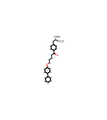 CO[C@@H](Cc1ccc(C(=O)CCCCOc2ccc(-c3ccccc3)cc2)cc1)C(=O)O